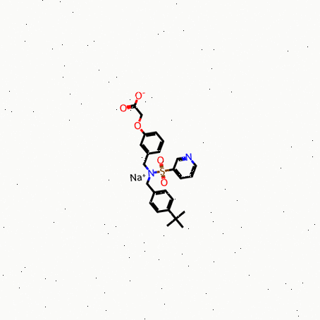 CC(C)(C)c1ccc(CN(Cc2cccc(OCC(=O)[O-])c2)S(=O)(=O)c2cccnc2)cc1.[Na+]